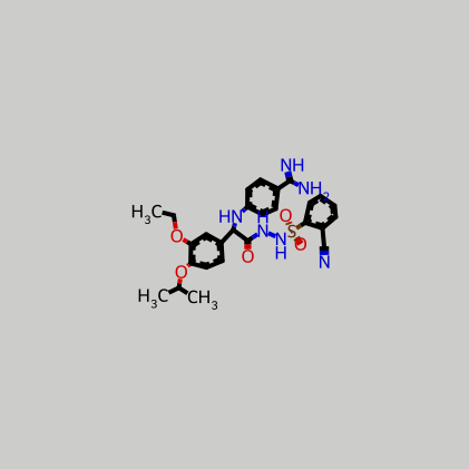 CCOc1cc(C(Nc2ccc(C(=N)N)cc2)C(=O)NNS(=O)(=O)c2ccccc2C#N)ccc1OC(C)C